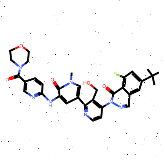 Cn1cc(-c2nccc(-n3ncc4cc(C(C)(C)C)cc(F)c4c3=O)c2CO)cc(Nc2ccc(C(=O)N3CCOCC3)cn2)c1=O